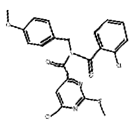 COc1ccc(CN(C(=O)c2cc(Cl)nc(SC)n2)C(=O)c2ccccc2Cl)cc1